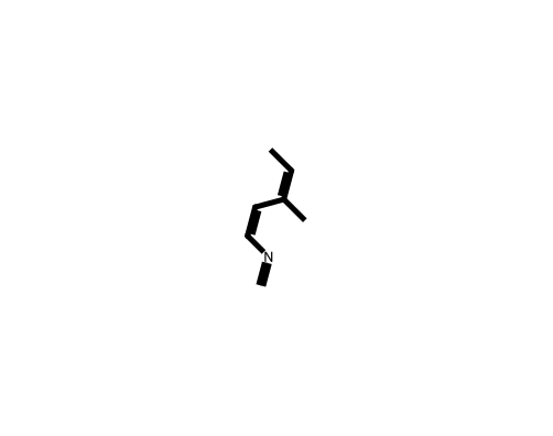 C=N/C=C\C(C)=C/C